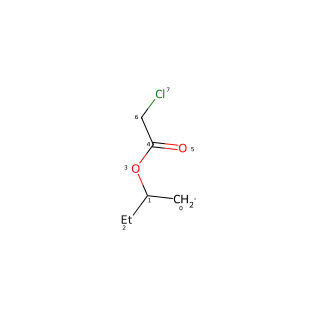 [CH2]C(CC)OC(=O)CCl